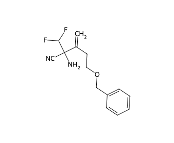 C=C(CCOCc1ccccc1)C(N)(C#N)C(F)F